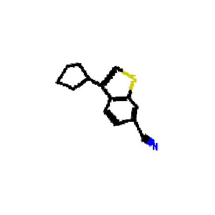 N#Cc1ccc2c(C3CCCC3)csc2c1